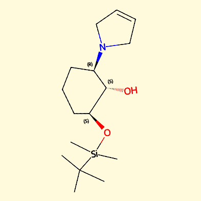 CC(C)(C)[Si](C)(C)O[C@H]1CCC[C@@H](N2CC=CC2)[C@@H]1O